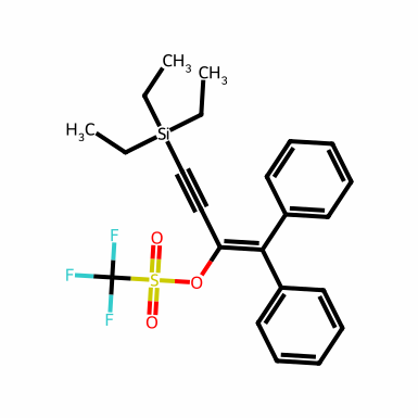 CC[Si](C#CC(OS(=O)(=O)C(F)(F)F)=C(c1ccccc1)c1ccccc1)(CC)CC